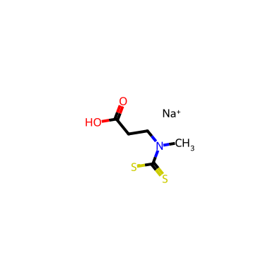 CN(CCC(=O)O)C(=S)[S-].[Na+]